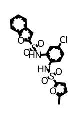 Cc1ccc(S(=O)(=O)Nc2ccc(Cl)cc2NS(=O)(=O)c2cc3ccccc3o2)o1